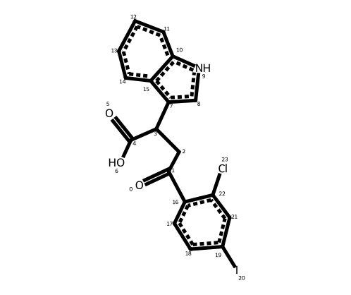 O=C(CC(C(=O)O)c1c[nH]c2ccccc12)c1ccc(I)cc1Cl